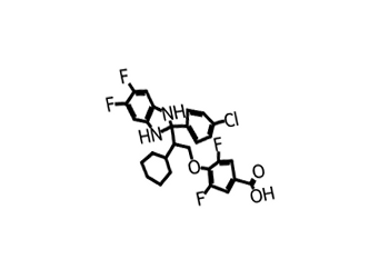 O=C(O)c1cc(F)c(OCC(C2CCCCC2)C2(c3ccc(Cl)cc3)Nc3cc(F)c(F)cc3N2)c(F)c1